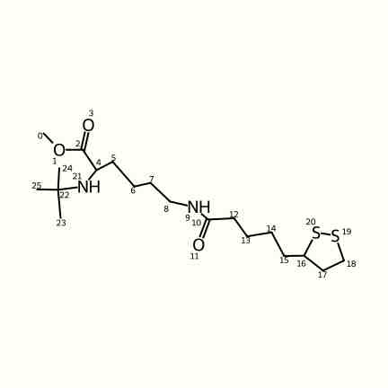 COC(=O)C(CCCCNC(=O)CCCCC1CCSS1)NC(C)(C)C